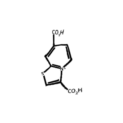 O=C(O)c1cc[n+]2c(C(=O)O)csc2c1